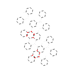 Cc1ccccc1N(c1cc2c3c(c1)N(c1ccccc1)c1cc4c(cc1B3c1ccccc1N2c1ccccc1)B1c2ccccc2N(c2ccccc2)c2cc(N(c3ccccc3C)c3ccccc3C)cc(c21)N4c1c(-c2ccccc2)cccc1-c1ccccc1)c1ccccc1C